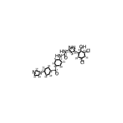 O=C(Nc1ccc(C(=O)c2ccc(-n3ccnc3)cc2)cc1)Nc1nnc(-c2cc(Cl)cc(Cl)c2O)s1